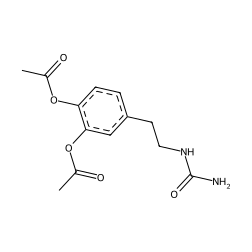 CC(=O)Oc1ccc(CCNC(N)=O)cc1OC(C)=O